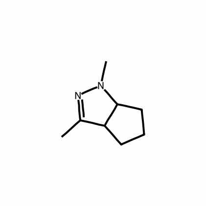 CC1=NN(C)C2CCCC12